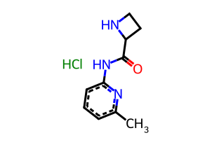 Cc1cccc(NC(=O)C2CCN2)n1.Cl